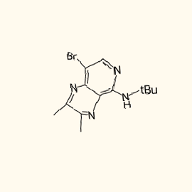 Cc1nc2c(Br)cnc(NC(C)(C)C)c2nc1C